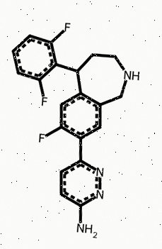 Nc1ccc(-c2cc3c(cc2F)C(c2c(F)cccc2F)CCNC3)nn1